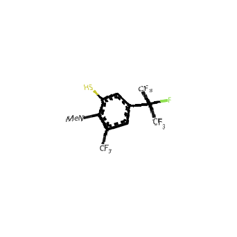 CNc1c(S)cc(C(F)(C(F)(F)F)C(F)(F)F)cc1C(F)(F)F